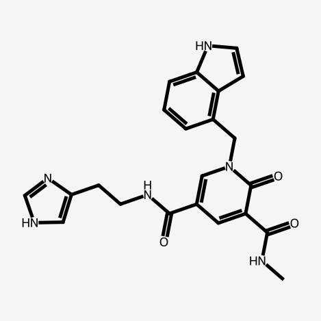 CNC(=O)c1cc(C(=O)NCCc2c[nH]cn2)cn(Cc2cccc3[nH]ccc23)c1=O